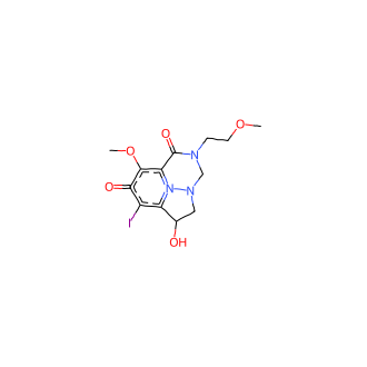 COCCN1CN2CC(O)c3c(I)c(=O)c(OC)c(n32)C1=O